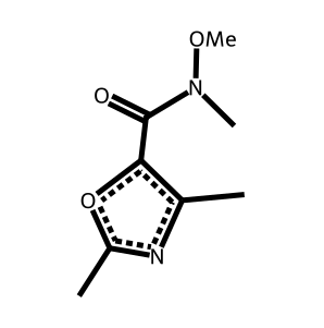 CON(C)C(=O)c1oc(C)nc1C